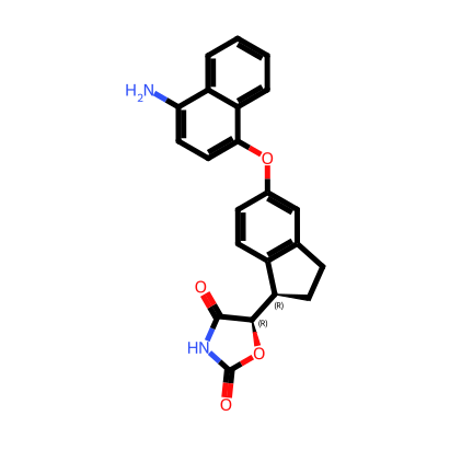 Nc1ccc(Oc2ccc3c(c2)CC[C@H]3[C@H]2OC(=O)NC2=O)c2ccccc12